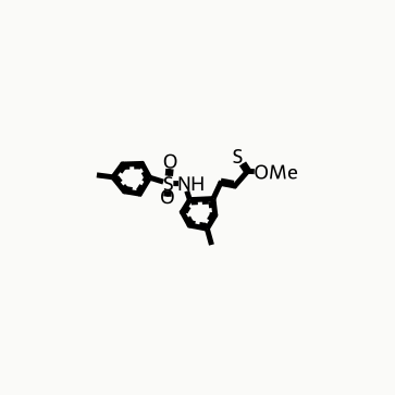 COC(=S)C=Cc1cc(C)ccc1NS(=O)(=O)c1ccc(C)cc1